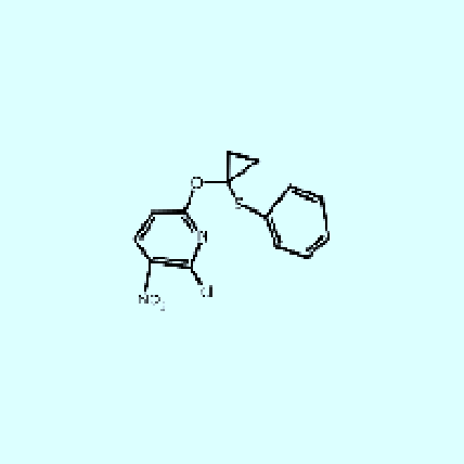 O=[N+]([O-])c1ccc(OC2(Sc3ccccc3)CC2)nc1Cl